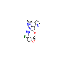 COc1cccnc1-c1cc2c(n3cnnc13)NCc1c(F)ccc3c1[C@@H](CO3)CO2